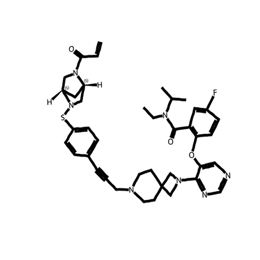 C=CC(=O)N1C[C@@H]2C[C@H]1CN2Sc1ccc(C#CCN2CCC3(CC2)CN(c2ncncc2Oc2ccc(F)cc2C(=O)N(CC)C(C)C)C3)cc1